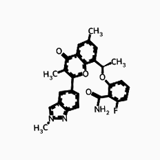 Cc1cc([C@@H](C)Oc2cccc(F)c2C(N)=O)c2oc(-c3ccc4nn(C)cc4c3)c(C)c(=O)c2c1